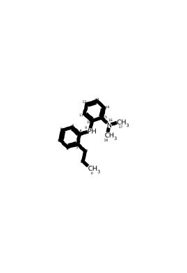 CCCc1ccccc1Pc1ccccc1N(C)C